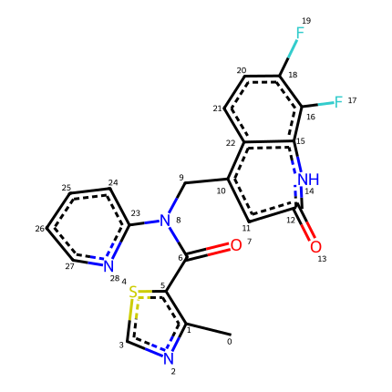 Cc1ncsc1C(=O)N(Cc1cc(=O)[nH]c2c(F)c(F)ccc12)c1ccccn1